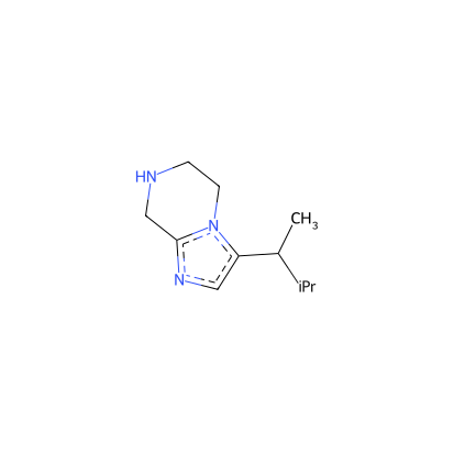 CC(C)C(C)c1cnc2n1CCNC2